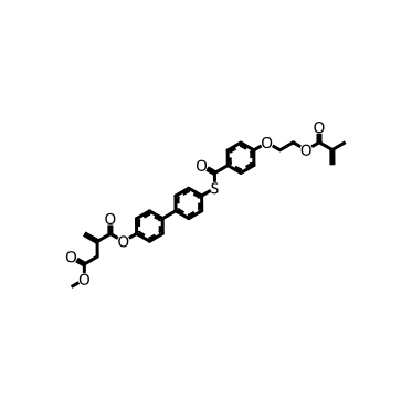 C=C(C)C(=O)OCCOc1ccc(C(=O)Sc2ccc(-c3ccc(OC(=O)C(=C)CC(=O)OC)cc3)cc2)cc1